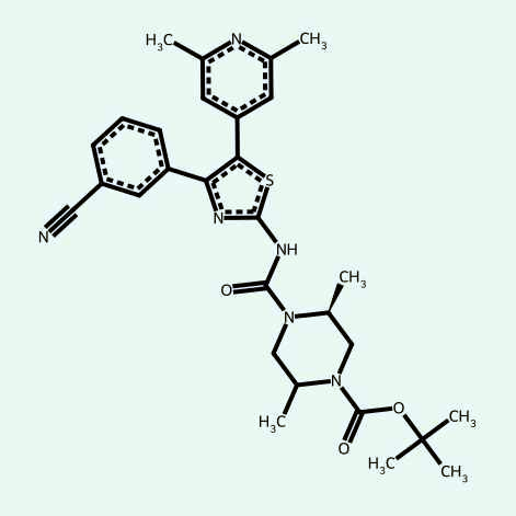 Cc1cc(-c2sc(NC(=O)N3CC(C)N(C(=O)OC(C)(C)C)C[C@@H]3C)nc2-c2cccc(C#N)c2)cc(C)n1